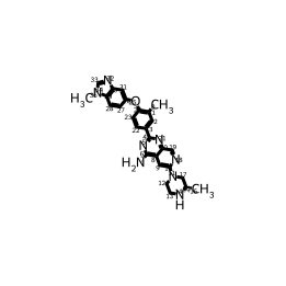 Cc1cc(-c2nc(N)c3cc(N4CCN[C@H](C)C4)ncc3n2)ccc1Oc1ccc2c(c1)ncn2C